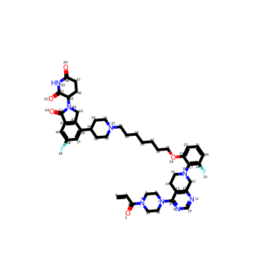 C=CC(=O)N1CCN(c2ncnc3c2CCN(c2c(F)cccc2OCCCCCCCN2CCC(c4cc(F)cc5c4CN(C4CCC(=O)NC4=O)C5=O)CC2)C3)CC1